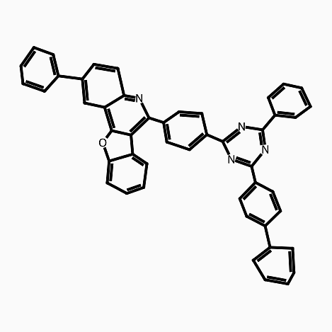 c1ccc(-c2ccc(-c3nc(-c4ccccc4)nc(-c4ccc(-c5nc6ccc(-c7ccccc7)cc6c6oc7ccccc7c56)cc4)n3)cc2)cc1